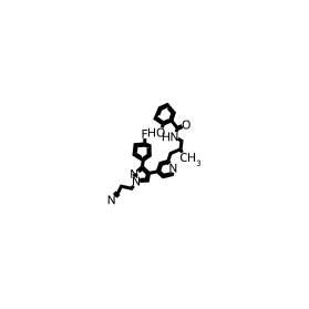 CC(CNC(=O)c1ccccc1O)Cc1cc(-c2cn(CCC#N)nc2-c2ccc(F)cc2)ccn1